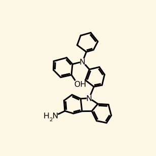 Nc1ccc2c(c1)c1ccccc1n2-c1cccc(N(C2=CC=CCC2)c2ccccc2O)c1